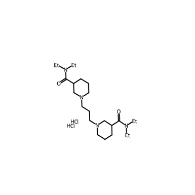 CCN(CC)C(=O)C1CCCN(CCCN2CCCC(C(=O)N(CC)CC)C2)C1.Cl.Cl